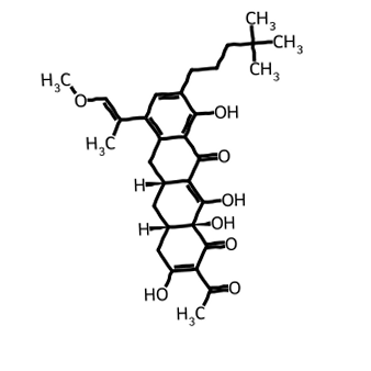 CO/C=C(\C)c1cc(CCCC(C)(C)C)c(O)c2c1C[C@H]1C[C@H]3CC(O)=C(C(C)=O)C(=O)[C@@]3(O)C(O)=C1C2=O